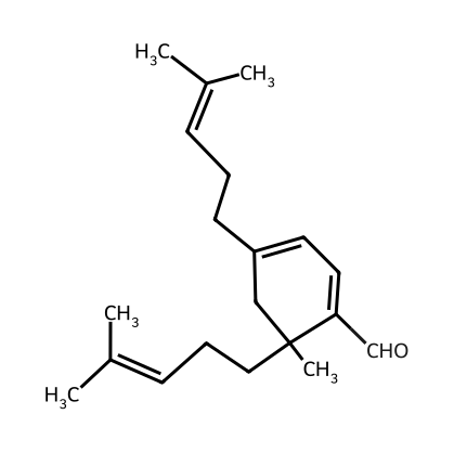 CC(C)=CCCC1=CC=C(C=O)C(C)(CCC=C(C)C)C1